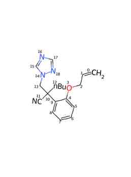 C=CCOc1ccccc1C(C#N)(CCCC)Cn1cncn1